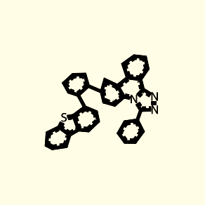 c1ccc(-c2nnc3c4ccccc4c4cc(-c5ccccc5-c5cccc6c5sc5ccccc56)ccc4n23)cc1